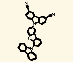 N#Cc1ccc2c(c1)c1cc(C#N)ccc1n2-c1ccc2oc3c(-n4c5ccccc5c5ccccc54)cccc3c2c1